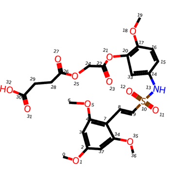 COc1cc(OC)c(C=CS(=O)(=O)Nc2ccc(OC)c(OC(=O)COC(=O)CCC(=O)O)c2)c(OC)c1